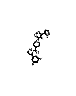 Cn1nccc1-c1ncnc(N2CCC(C(=O)N3OCC[C@H]3c3cc(F)cc(F)c3)CC2)c1F